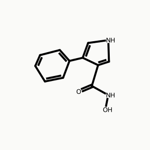 O=C(NO)c1c[nH]cc1-c1ccccc1